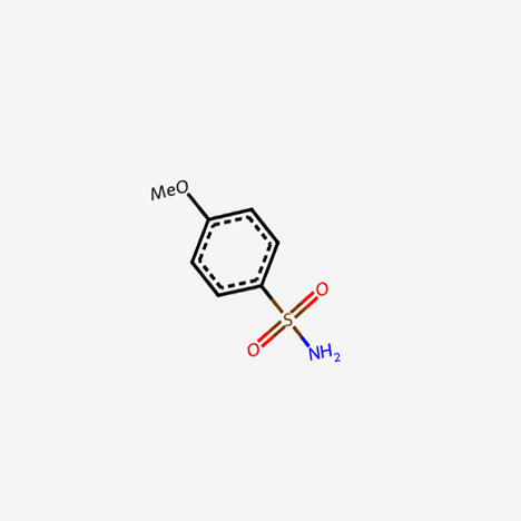 [CH2]Oc1ccc(S(N)(=O)=O)cc1